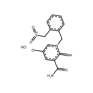 Cl.N=c1c(C(N)=O)cc(Cl)cn1Cc1ccccc1C[SH](=O)=O